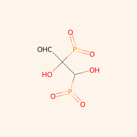 O=CC(O)(C(O)P(=O)=O)P(=O)=O